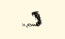 CCCCCCCC1COC(C(F)(F)OC2CCC(C(F)(F)Oc3ccc(-c4cc(F)c(C(F)(F)F)c(F)c4)c(F)c3)CC2)OC1